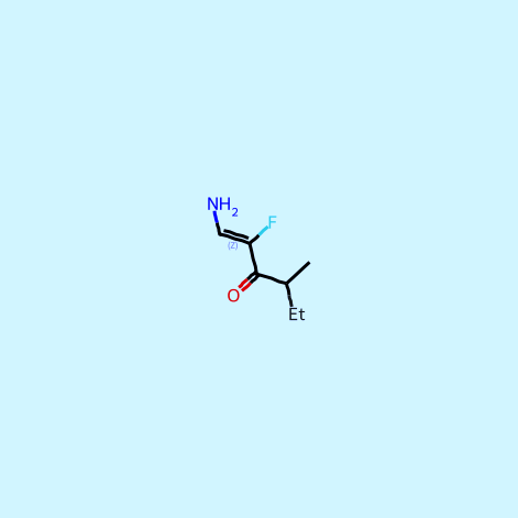 CCC(C)C(=O)/C(F)=C/N